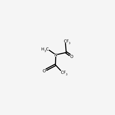 CN(C(=O)C(F)(F)F)C(=O)C(F)(F)F